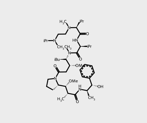 CC[C@H](C)[C@@H]([C@@H](CC(=O)N1CCC[C@H]1[C@H](OC)[C@@H](C)C(=O)N[C@H](C)[C@@H](O)c1ccccc1)OC)N(C)C(=O)[C@@H](NC(=O)[C@H](C(C)C)N(C)CCN(C)C(C)C)C(C)C